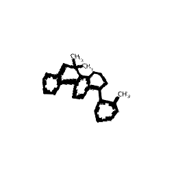 Cc1ccccc1C1=c2ccc3c(c2CCC1)C(C)(C)C=c1ccccc1=3